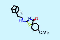 C=C1C2CC(CCNC3=NC(=O)C4(CCC(OC)CC4)S3)CC1C2